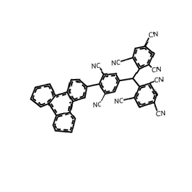 N#Cc1cc(C#N)c(C(c2cc(C#N)c(-c3ccc4c5ccccc5c5ccccc5c4c3)c(C#N)c2)c2c(C#N)cc(C#N)cc2C#N)c(C#N)c1